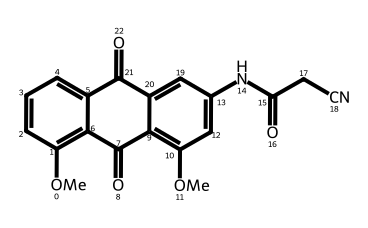 COc1cccc2c1C(=O)c1c(OC)cc(NC(=O)CC#N)cc1C2=O